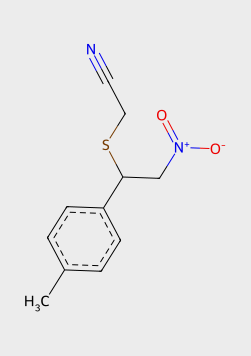 Cc1ccc(C(C[N+](=O)[O-])SCC#N)cc1